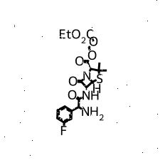 CCOC(=O)OCOC(=O)[C@@H]1N2C(=O)[C@@H](NC(=O)C(N)c3cccc(F)c3)[C@H]2SC1(C)C